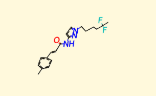 Cc1ccc(C=CC(=O)Nc2ccn(CCCCC(C)(F)F)n2)cc1